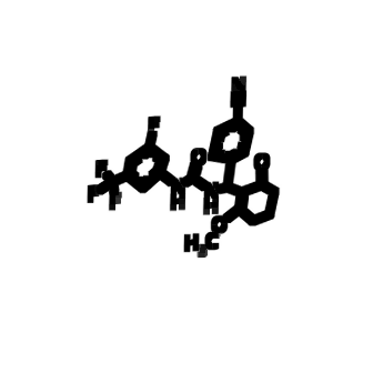 COC1=C(C(NC(=O)Nc2cc(F)cc(C(F)(F)F)c2)c2ccc(C#N)cc2)C(=O)CCC1